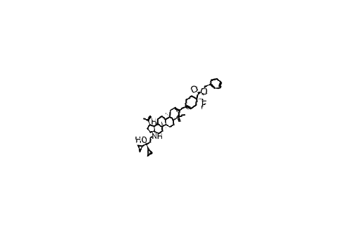 C=C(C)[C@@H]1CC[C@]2(NCCC(O)(C3CC3)C3CC3)CC[C@]3(C)[C@H](CCC4[C@@]5(C)CC=C(C6=CC[C@](CF)(C(=O)OCc7ccccc7)CC6)C(C)(C)C5CC[C@]43C)C12